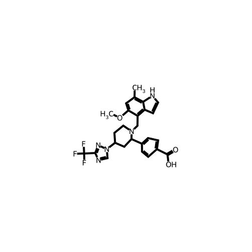 COc1cc(C)c2[nH]ccc2c1CN1CCC(n2cnc(C(F)(F)F)n2)CC1c1ccc(C(=O)O)cc1